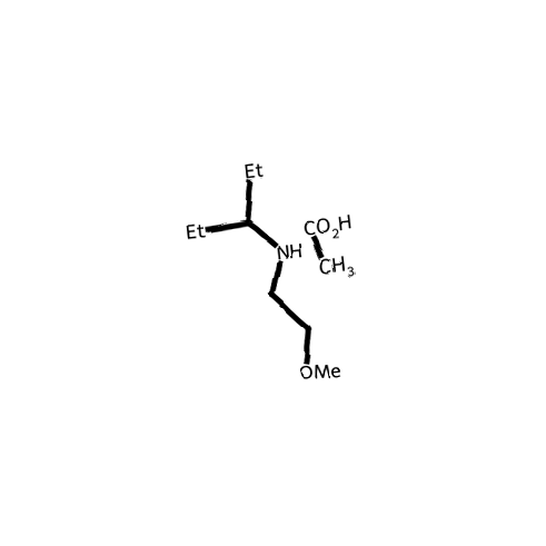 CC(=O)O.CCC(CC)NCCOC